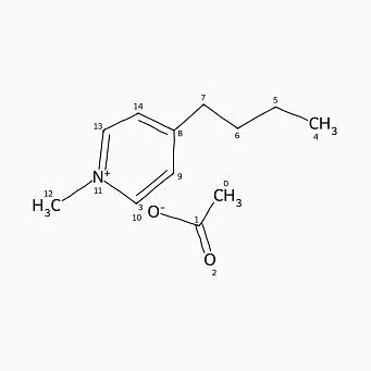 CC(=O)[O-].CCCCc1cc[n+](C)cc1